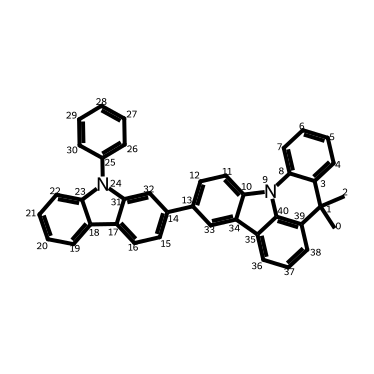 CC1(C)c2ccccc2-n2c3ccc(-c4ccc5c6ccccc6n(-c6ccccc6)c5c4)cc3c3cccc1c32